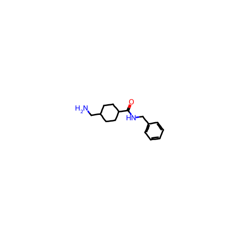 NCC1CCC(C(=O)NCc2ccccc2)CC1